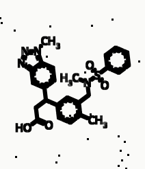 Cc1ccc(C(CC(=O)O)c2ccc3c(c2)nnn3C)cc1CN(C)S(=O)(=O)c1ccccc1